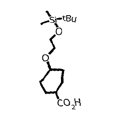 CC(C)(C)[Si](C)(C)OCCOC1CCC(C(=O)O)CC1